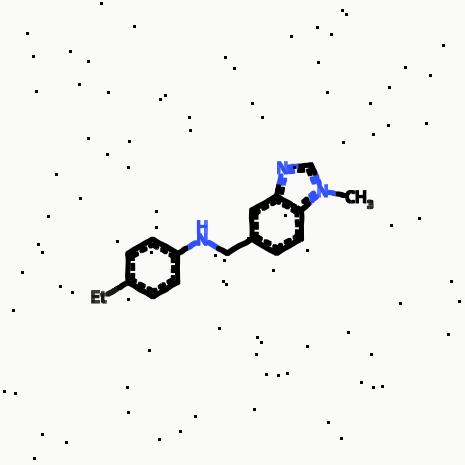 CCc1ccc(NCc2ccc3c(c2)ncn3C)cc1